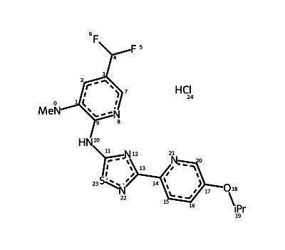 CNc1cc(C(F)F)cnc1Nc1nc(-c2ccc(OC(C)C)cn2)ns1.Cl